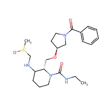 CCNC(=O)N1CCCC(NC[S+](C)[O-])[C@@H]1CO[C@H]1CCN(C(=O)c2ccccc2)C1